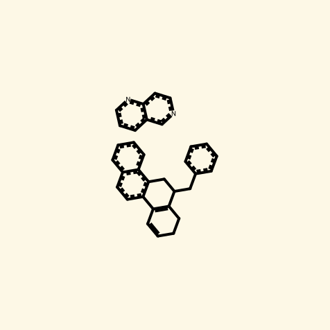 C1=CC2=C(CC1)C(Cc1ccccc1)Cc1c2ccc2ccccc12.c1cnc2ccncc2c1